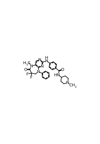 CN1CCC(NC(=O)c2ccc(Nc3ncc4c(n3)N(c3ccccc3)CC(F)(F)C(=O)N4C)cc2)CC1